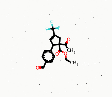 CCOC(=O)C1(C(C)=O)CC(C(F)(F)F)=CC1c1ccc(C=O)cc1